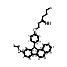 CCCCC(=N)CCOc1ccc(C2c3cc(OCC)ccc3-c3ccc4ccccc4c32)cc1